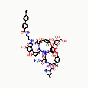 C#Cc1ccc(-c2ccc(C(=O)NCCCNC(=O)C3NC(=O)[C@H]4NC(=O)[C@H](NC(=O)C5NC(=O)[C@H](CC(N)=O)NC(=O)[C@H](NC(=O)[C@@H](CC(C)C)NC)[C@H](O)c6ccc(cc6)Oc6cc5cc(c6O[C@@H]5O[C@H](CO)[C@@H](O)[C@H](O)[C@H]5OC5C[C@](C)(N)[C@H](O)[C@H](C)O5)Oc5ccc(cc5Cl)[C@H]4O)c4ccc(O)c(c4)-c4c(O)cc(O)cc43)cc2)cc1